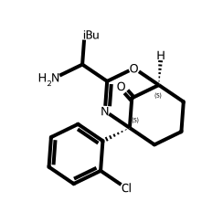 CCC(C)C(N)C1=N[C@]2(c3ccccc3Cl)CCC[C@H](O1)C2=O